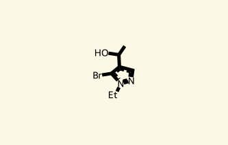 CCn1ncc(C(C)O)c1Br